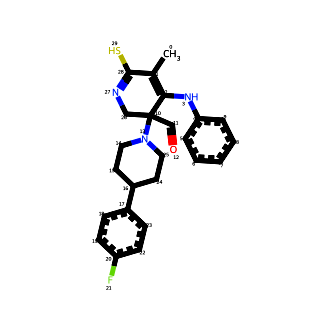 CC1=C(Nc2ccccc2)C(C=O)(N2CCC(c3ccc(F)cc3)CC2)CN=C1S